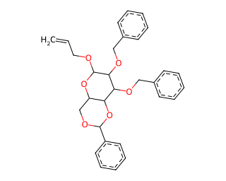 C=CCOC1OC2COC(c3ccccc3)OC2C(OCc2ccccc2)C1OCc1ccccc1